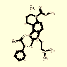 COC(=O)N1c2ccc3c(nc(C[C@@H](C(=O)O)c4ccccc4)n3CCN(C)C)c2CC[C@@H]1C